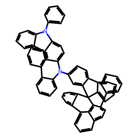 c1ccc(-c2ccccc2N(c2ccc3c(c2)C2(c4ccccc4-3)c3ccccc3-c3cccc4ccc(-c5ccccc5)c2c34)c2ccc3c(c2)c2ccccc2n3-c2ccccc2)cc1